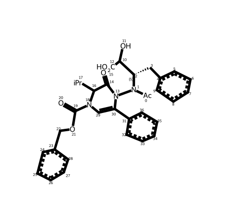 CC(=O)N([C@@H](Cc1ccccc1)C(O)C(=O)O)N1C(=O)C(C(C)C)N(C(=O)OCc2ccccc2)C=C1c1ccccc1